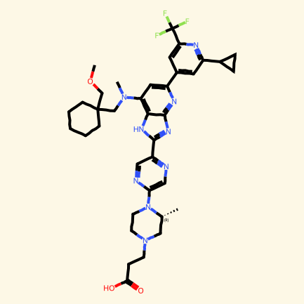 COCC1(CN(C)c2cc(-c3cc(C4CC4)nc(C(F)(F)F)c3)nc3nc(-c4cnc(N5CCN(CCC(=O)O)C[C@H]5C)cn4)[nH]c23)CCCCC1